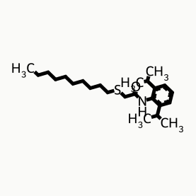 CCCCCCCCCCSCC(=O)Nc1c(C(C)C)cccc1C(C)C